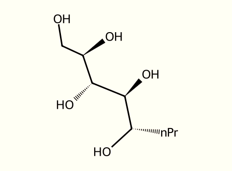 CCC[C@H](O)[C@H](O)[C@H](O)[C@H](O)CO